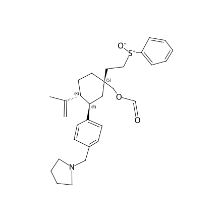 C=C(C)[C@@H]1CC[C@](CC[S+]([O-])c2ccccc2)(COC=O)C[C@H]1c1ccc(CN2CCCC2)cc1